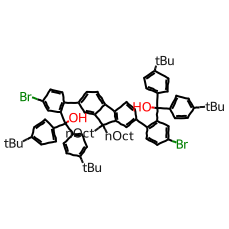 CCCCCCCCC1(CCCCCCCC)c2cc(-c3ccc(Br)cc3C(O)(c3ccc(C(C)(C)C)cc3)c3ccc(C(C)(C)C)cc3)ccc2-c2ccc(-c3ccc(Br)cc3C(O)(c3ccc(C(C)(C)C)cc3)c3ccc(C(C)(C)C)cc3)cc21